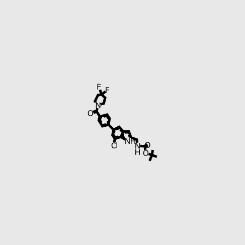 CC(C)(C)OC(=O)NCc1cc2cc(-c3ccc(C(=O)N4CCC(F)(F)CC4)cc3)cc(Cl)c2[nH]1